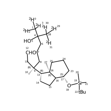 [2H]C([2H])([2H])C(O)(CCC[C@](C)(CC=O)[C@H]1CCC2[C@@H](O[Si](C)(C)C(C)(C)C)CCC[C@@]21C)C([2H])([2H])[2H]